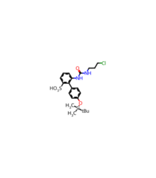 CC(C)(C)[Si](C)(C)Oc1ccc(-c2c(NC(=O)NCCCCl)cccc2S(=O)(=O)O)cc1